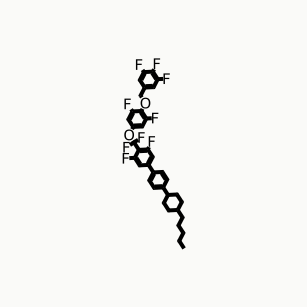 CCCCCC1CCC(c2ccc(-c3cc(F)c(C(F)(F)Oc4cc(F)c(OCc5cc(F)c(F)c(F)c5)c(F)c4)c(F)c3)cc2)CC1